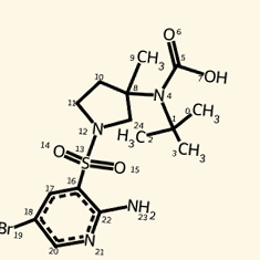 CC(C)(C)N(C(=O)O)C1(C)CCN(S(=O)(=O)c2cc(Br)cnc2N)C1